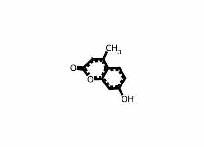 Cc1[c]c(=O)oc2cc(O)ccc12